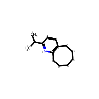 CC(C)c1ccc2c(n1)CCCCCC2